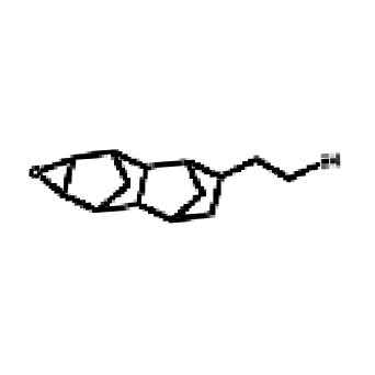 SCCC1CC2CC1C1C3CC(C4OC34)C21